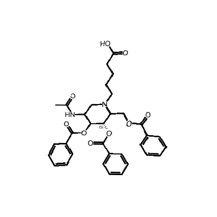 CC(=O)NC1CN(CCCCC(=O)O)C(COC(=O)c2ccccc2)[C@H](OC(=O)c2ccccc2)C1OC(=O)c1ccccc1